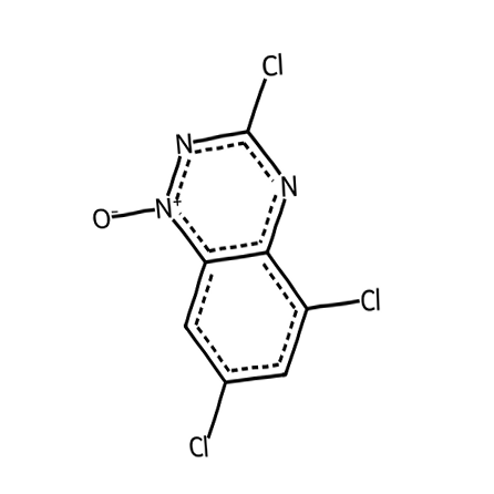 [O-][n+]1nc(Cl)nc2c(Cl)cc(Cl)cc21